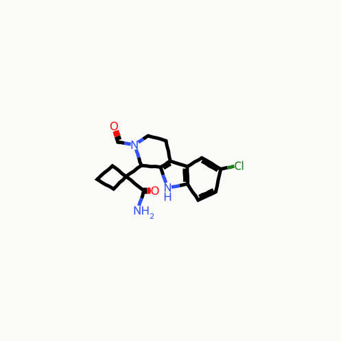 NC(=O)C1(C2c3[nH]c4ccc(Cl)cc4c3CCN2C=O)CCC1